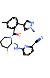 Cc1ccc(-c2cnn(C)c2)c(C(=O)N2CCC[C@@H](C)[C@H]2CNc2cccc(C#N)n2)c1